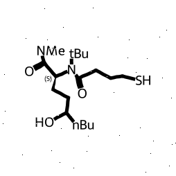 CCCCC(O)CC[C@@H](C(=O)NC)N(C(=O)CCCS)C(C)(C)C